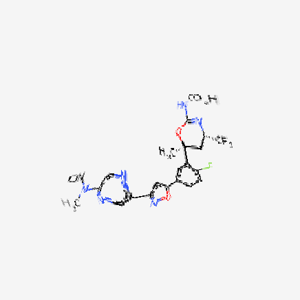 CN(N=O)c1cnc(-c2cc(-c3ccc(F)c([C@]4(C)C[C@@H](C(F)(F)F)N=C(NC(=O)O)O4)c3)on2)cn1